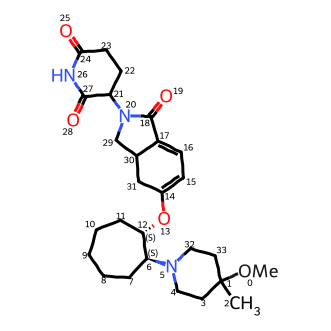 COC1(C)CCN([C@H]2CCCCC[C@@H]2OC2=CC=C3C(=O)N(C4CCC(=O)NC4=O)CC3C2)CC1